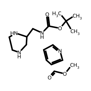 CC(C)(C)OC(=O)NCC1CNCCN1.COC=O.c1ccncc1